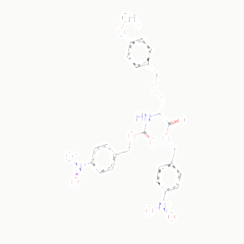 COc1ccc(CSC[C@@H](NC(=O)OCc2ccc([N+](=O)[O-])cc2)C(=O)OCc2ccc([N+](=O)[O-])cc2)cc1